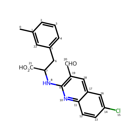 Cc1cccc(CC(Nc2nc3ccc(Cl)cc3cc2C=O)C(=O)O)c1